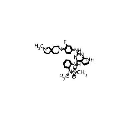 CN1CCC2(CCN(c3ccc(Nc4nc(Nc5ccccc5N(C)S(C)(=O)=O)c5cc[nH]c5n4)cc3F)CC2)C1